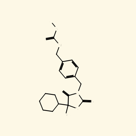 CCCCNC(=O)NCc1ccc(CN2C(=N)NC(CCCC)(C3CCCCC3)C2=O)cc1